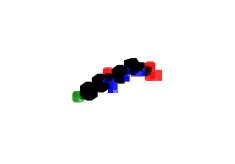 O=C(O)NCC1CCN(c2ccc(NC(=O)N3CCC(c4ccc(Cl)cc4)CC3)cn2)C1